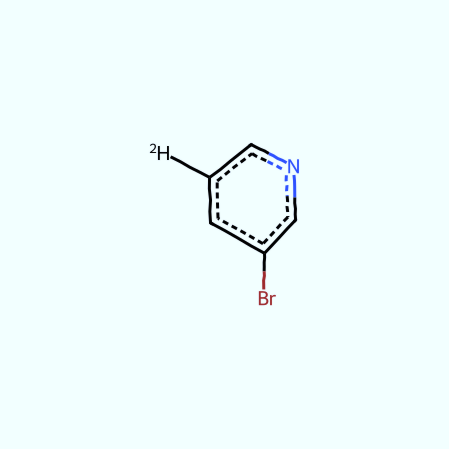 [2H]c1cncc(Br)c1